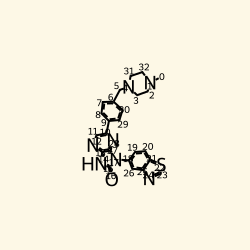 CN1CCN(Cc2ccc(-c3cnc4[nH]c(=O)n(-c5ccc6scnc6c5)c4n3)cc2)CC1